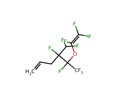 C=CCC(F)(C(F)F)C(F)(OC(F)=C(F)F)C(F)(F)F